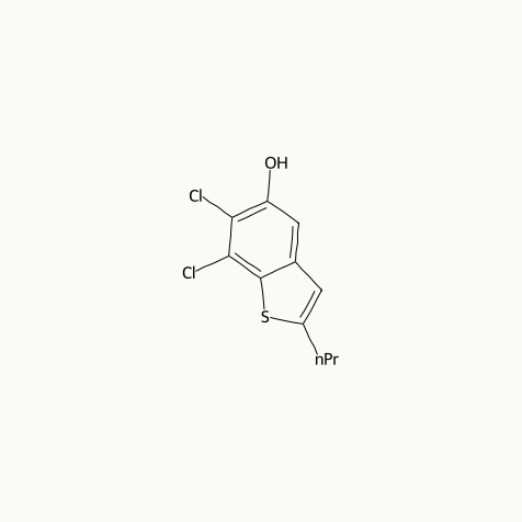 CCCc1cc2cc(O)c(Cl)c(Cl)c2s1